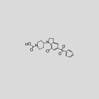 O=C(O)N1CCC(N2CCc3cc(S(=O)(=O)c4ccccc4)cc(Cl)c32)CC1